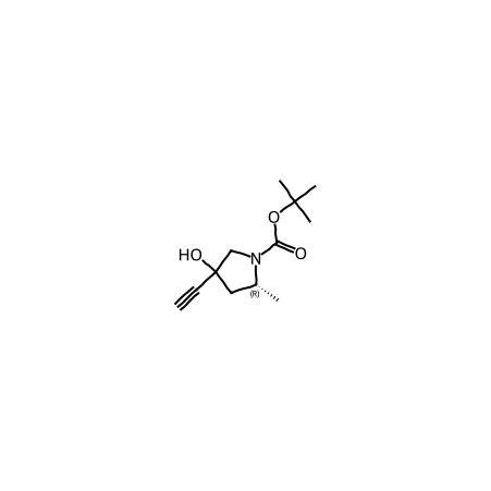 C#CC1(O)C[C@@H](C)N(C(=O)OC(C)(C)C)C1